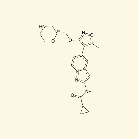 Cc1onc(OC[C@H]2CNCCO2)c1-c1ccn2nc(NC(=O)C3CC3)cc2c1